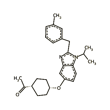 Cc1cccc(Cc2nc3cc(O[C@H]4CC[C@@H](C(C)=O)CC4)ccc3n2C(C)C)c1